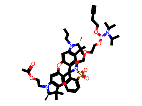 C#CCCOP(OCCOCCN1C2(c3cc4c(cc3Oc3cc5c(cc32)C(C)(C)[C@@H](C)N5CCOC(C)=O)N(CCC)[C@H](C)C4(C)C)c2ccccc2S1(=O)=O)N(C(C)C)C(C)C